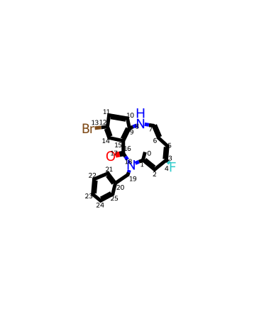 C\C1=C/C(F)=C\C=C\Nc2ccc(Br)cc2C(=O)N1Cc1ccccc1